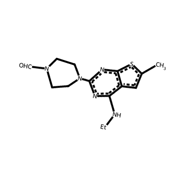 CCNc1nc(N2CCN(C=O)CC2)nc2sc(C)cc12